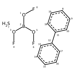 FOB(OF)OF.S.c1ccc(-c2ccccc2)cc1